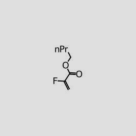 C=C(F)C(=O)OCCCC